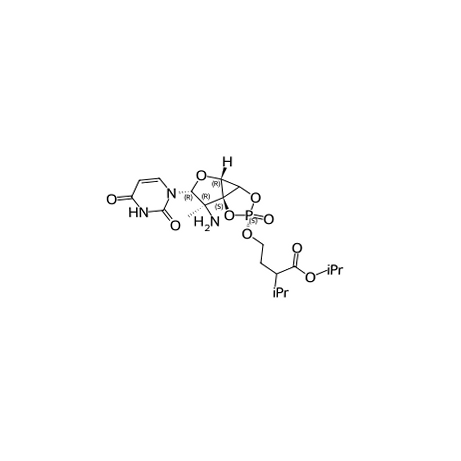 CC(C)OC(=O)C(CCO[P@@]1(=O)OC2[C@H]3O[C@@H](n4ccc(=O)[nH]c4=O)[C@](C)(N)[C@@]23O1)C(C)C